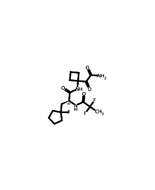 CC(F)(F)C(=O)N[C@@H](CC1(F)CCCC1)C(=O)NC1(C(=O)C(N)=O)CCC1